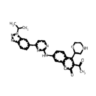 CC(=O)c1c(C2CNCCO2)c2ccc(Nc3nccc(-c4ccc5nnn(C(C)C)c5c4)n3)cc2oc1=O